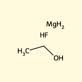 CCO.F.[MgH2]